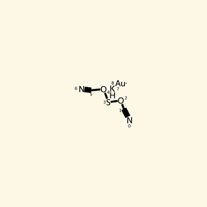 N#COSOC#N.[Au].[KH]